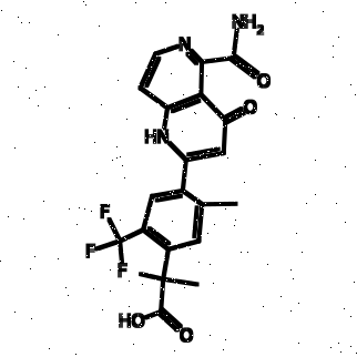 Cc1cc(C(C)(C)C(=O)O)c(C(F)(F)F)cc1-c1cc(=O)c2c(C(N)=O)nccc2[nH]1